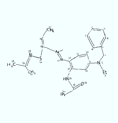 CCN(Cc1ccccc1)c1ccc(N=N/C(=C\C#N)SN=C(C)C)c(NC(=O)C(C)C)c1